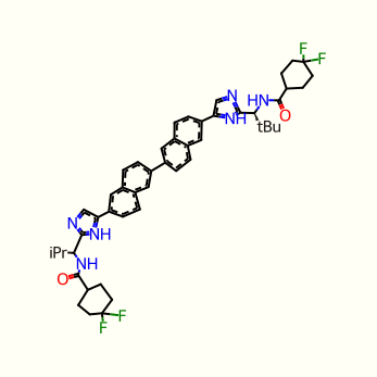 CC(C)C(NC(=O)C1CCC(F)(F)CC1)c1ncc(-c2ccc3cc(-c4ccc5cc(-c6cnc([C@@H](NC(=O)C7CCC(F)(F)CC7)C(C)(C)C)[nH]6)ccc5c4)ccc3c2)[nH]1